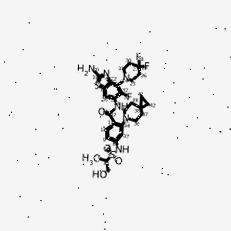 CC(CO)S(=O)(=O)Nc1ccc(C(=O)Nc2cc3sc(N)nc3c(N3CCC(F)(F)CC3)c2F)c(N2CCC3(CC2)CC3)c1